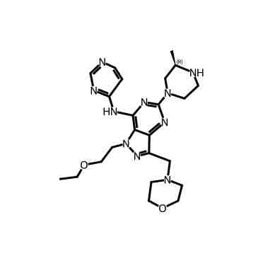 CCOCCn1nc(CN2CCOCC2)c2nc(N3CCN[C@H](C)C3)nc(Nc3ccncn3)c21